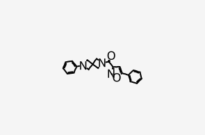 O=C(c1cc(-c2ccccc2)on1)N1CC2(C1)CN(c1ccccc1)C2